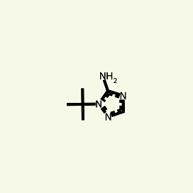 CC(C)(C)n1ncnc1N